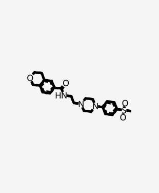 CS(=O)(=O)c1ccc(N2CCN(CCNC(=O)c3ccc4c(c3)CCOC4)CC2)cc1